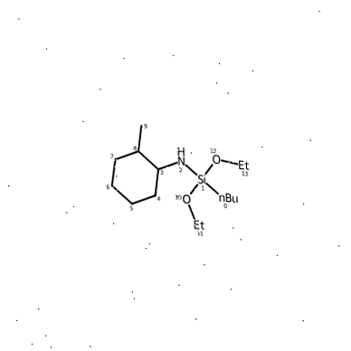 CCCC[Si](NC1CCCCC1C)(OCC)OCC